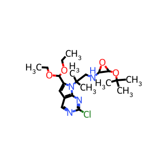 CCOC(OCC)c1cc2cnc(Cl)nc2n1C(C)(C)CNC1OC1OC(C)(C)C